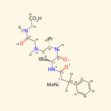 CN[C@H](C(=O)N[C@H](C(=O)N(C)[C@H](CN(C)CC(=O)N(C)CC(=O)O)C(C)C)C(C)(C)C)C(C)(C)c1ccccc1